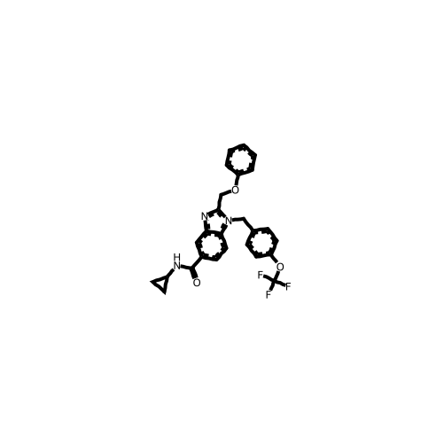 O=C(NC1CC1)c1ccc2c(c1)nc(COc1ccccc1)n2Cc1ccc(OC(F)(F)F)cc1